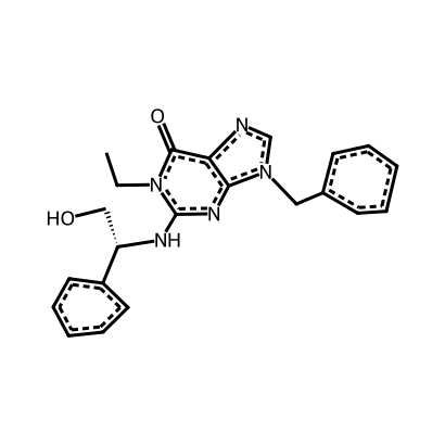 CCn1c(N[C@@H](CO)c2ccccc2)nc2c(ncn2Cc2ccccc2)c1=O